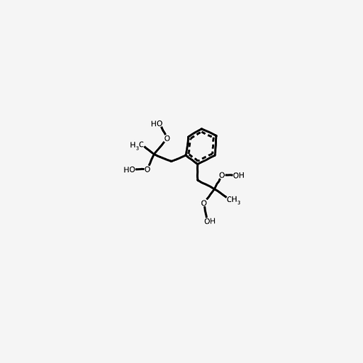 CC(Cc1ccccc1CC(C)(OO)OO)(OO)OO